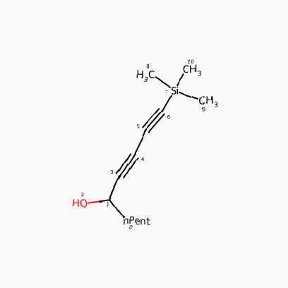 CCCCCC(O)C#CC#C[Si](C)(C)C